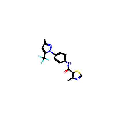 Cc1cc(C(F)(F)F)n(-c2ccc(NC(=O)c3scnc3C)cc2)n1